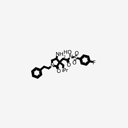 CC(C)CC1(CC(=O)N(O)S(=O)(=O)c2ccc(F)cc2)C(=O)N(CCc2ccccc2)CC1N